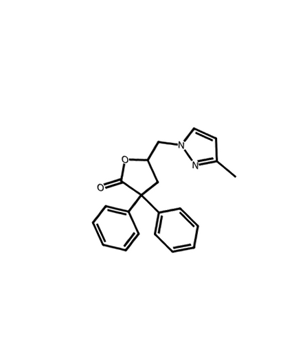 Cc1ccn(CC2CC(c3ccccc3)(c3ccccc3)C(=O)O2)n1